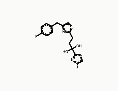 OC(O)(CCc1nc(Cc2ccc(F)cc2)cs1)c1nc[nH]n1